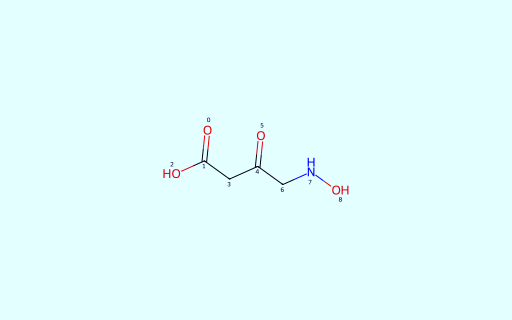 O=C(O)CC(=O)CNO